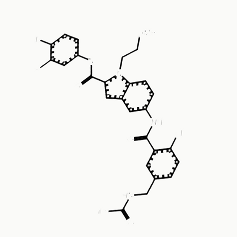 COCCn1c(C(=O)Nc2ccc(F)c(F)c2)cc2cc(NC(=O)c3cc(CNC(=O)C(C)C)ccc3Cl)ccc21